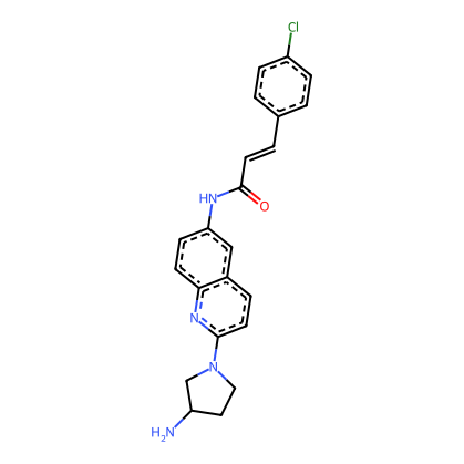 NC1CCN(c2ccc3cc(NC(=O)C=Cc4ccc(Cl)cc4)ccc3n2)C1